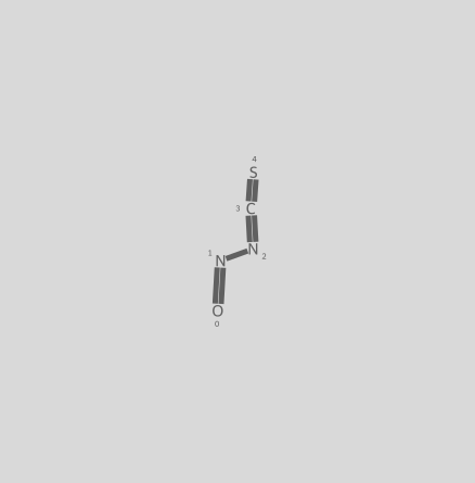 O=NN=C=S